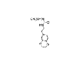 CN(O)C(=O)NCCc1ccc2c(c1)OCCO2